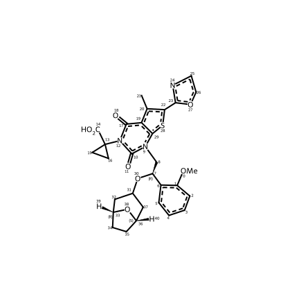 COc1ccccc1[C@H](Cn1c(=O)n(C2(C(=O)O)CC2)c(=O)c2c(C)c(-c3ncco3)sc21)OC1C[C@H]2CC[C@@H](C1)O2